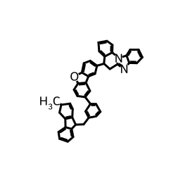 CC1C=CC2=C(C1)c1ccccc1C2Cc1cccc(-c2ccc3oc4ccc(C5Cc6nc7ccccc7n6-c6ccccc65)cc4c3c2)c1